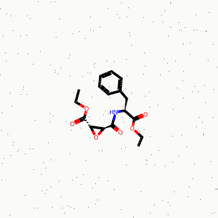 CCOC(=O)[C@H](Cc1ccccc1)NC(=O)[C@H]1O[C@@H]1C(=O)OCC